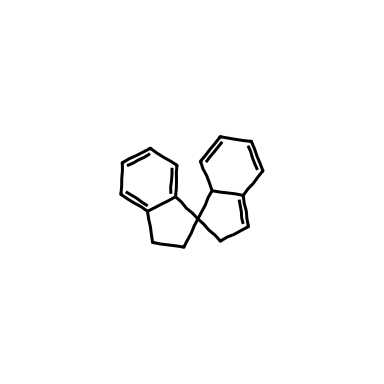 C1=CC2=CCC3(CCc4ccccc43)C2C=C1